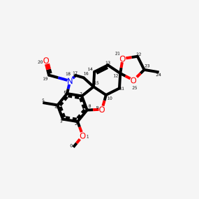 COc1cc(C)c2c3c1OC1CC4(C=CC31CCN2C=O)OCC(C)O4